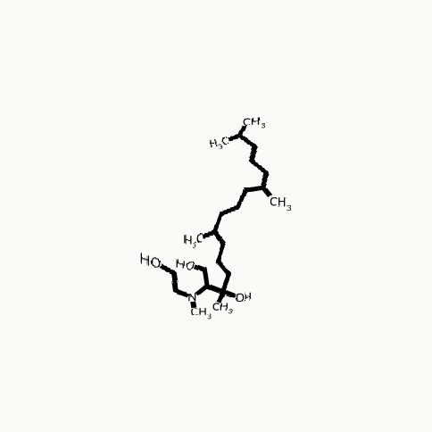 CC(C)CCCC(C)CCCC(C)CCCC(C)(O)C(CO)N(C)CCO